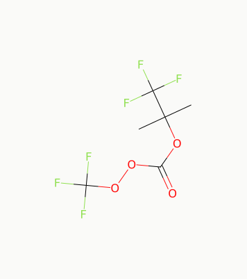 CC(C)(OC(=O)OOC(F)(F)F)C(F)(F)F